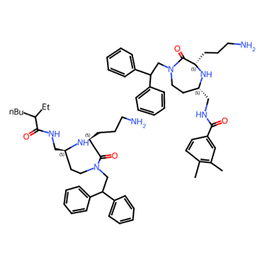 CCCCC(CC)C(=O)NC[C@@H]1CCN(CC(c2ccccc2)c2ccccc2)C(=O)[C@H](CCCN)N1.Cc1ccc(C(=O)NC[C@@H]2CCN(CC(c3ccccc3)c3ccccc3)C(=O)[C@H](CCCN)N2)cc1C